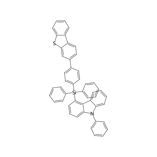 c1ccc(-n2c3ccccc3c3c([Si](c4ccccc4)(c4ccccc4)c4ccc(-c5ccc6c(c5)sc5ccccc56)cc4)cccc32)cc1